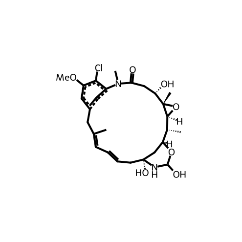 COc1cc2cc(c1Cl)N(C)C(=O)C[C@H](O)[C@]1(C)O[C@H]1[C@H](C)[C@@H]1C[C@](O)(C/C=C/C=C(\C)C2)NC(O)O1